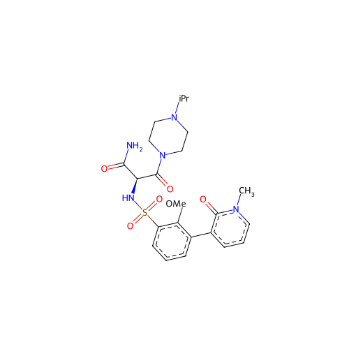 COc1c(-c2cccn(C)c2=O)cccc1S(=O)(=O)N[C@@H](C(N)=O)C(=O)N1CCN(C(C)C)CC1